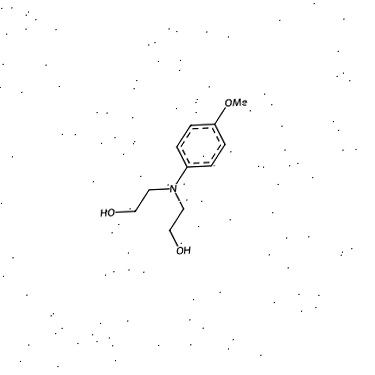 COc1c[c]c(N(CCO)CCO)cc1